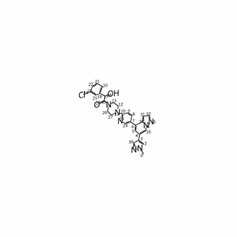 Cn1cc(-c2cc(-c3ccc(N4CCN(C(=O)[C@H](O)c5cccc(Cl)c5)CC4)nc3)c3ccnn3c2)cn1